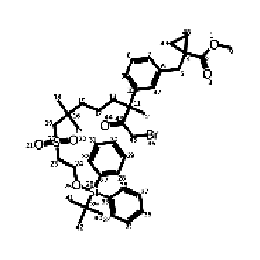 COC(=O)C1(Cc2cccc(C(C)(CCCC(C)(C)CS(=O)(=O)CCO[Si](c3ccccc3)(c3ccccc3)C(C)(C)C)C(=O)CBr)c2)CC1